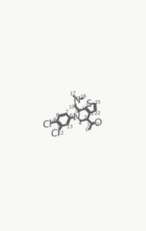 CC(=O)C1CN(c2ccc(Cl)c(Cl)c2)C(CN(C)C)c2sccc21